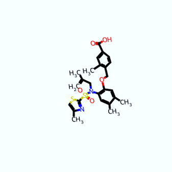 C=C(C)CN(c1cc(C)c(C)cc1OCc1ccc(C(=O)O)cc1C)S(=O)(=O)c1nc(C)cs1